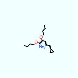 CCCCOc1cc(C=C2CC2)nnc1OCCCC